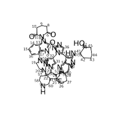 Cn1c(=O)n(N2C(=O)CCCC2=O)c2cccc(N3CCN([C@]4([C@H](C5CCCCC5)n5cc(-n6nncc6-c6c(N[C@H]7CCCC[C@H]7O)nn7cccnc67)cn5)CCNCC4C(F)F)CC3)c21